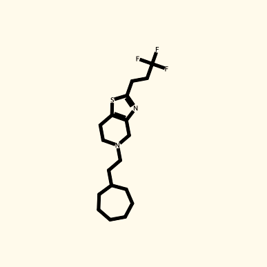 FC(F)(F)CCc1nc2c(s1)CCN(CCC1CCCCCC1)C2